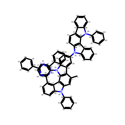 Cc1cc2c(c3c(-c4nc(-c5ccccc5)nc(-c5ccccc5)n4)cccc3n2-c2ccccc2)c2c1c1cc(-n3c4ccccc4c4c3ccc3c5ccccc5n(-c5ccccc5)c34)ccc1n2-c1ccccc1